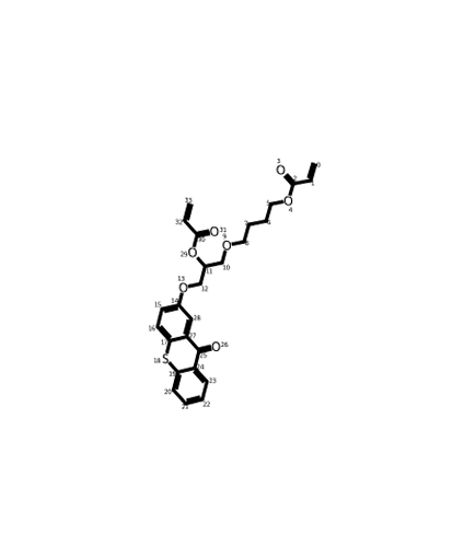 C=CC(=O)OCCCCOCC(COc1ccc2sc3ccccc3c(=O)c2c1)OC(=O)C=C